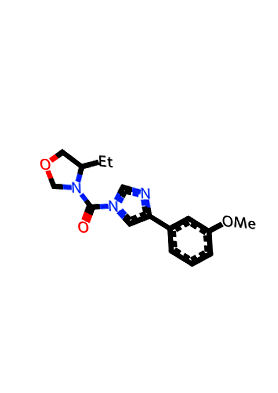 CCC1COCN1C(=O)n1cnc(-c2cccc(OC)c2)c1